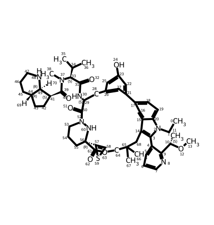 CCn1c(-c2cccnc2[C@H](C)OC)c2c3cc(ccc31)-c1cc(O)cc(c1)C[C@H](NC(=O)[C@H](C(C)C)N(C)C(=O)[C@H]1CC[C@@H]3CCCN[C@H]31)C(=O)N1CCC[C@@](C3=CS3)(N1)C(=O)OCC(C)(C)C2